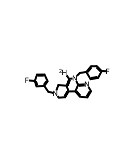 [2H]C1=C2CN(Cc3cccc(F)c3)CC=C2c2cccnc2N1Cc1ccc(F)cc1